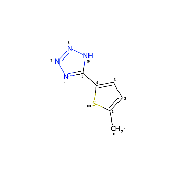 [CH2]c1ccc(-c2nnn[nH]2)s1